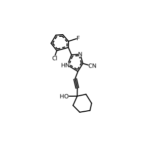 N#Cc1nc(-c2c(F)cccc2Cl)[nH]c1C#CC1(O)CCCCC1